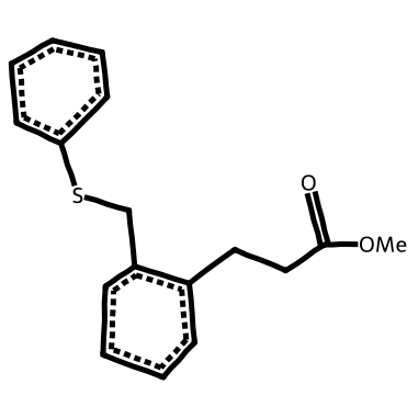 COC(=O)CCc1ccccc1CSc1ccccc1